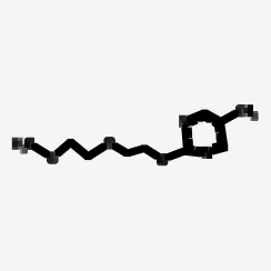 COCCOCCOc1ncc(C)cn1